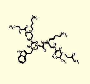 CCNC(=O)N[C@@H](CCCCN)CNC(=O)N[C@H](CNC(=O)N[C@@H](CCCCN)CNC(=O)N[C@H](CCC(N)=O)C(C)C)Cc1c[nH]c2ccccc12